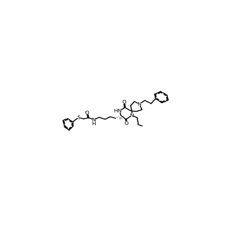 CCCN1C(=O)[C@H](CCCCNC(=O)CSc2ccccc2)NC(=O)C12CCN(CCc1ccccc1)CC2